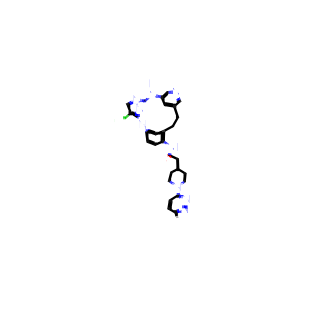 Cc1ccc(N2CCC(CC(=O)Nc3ccc4cc3CCc3cncc(c3)Nc3ncc(Cl)c(n3)N4)CC2)nn1